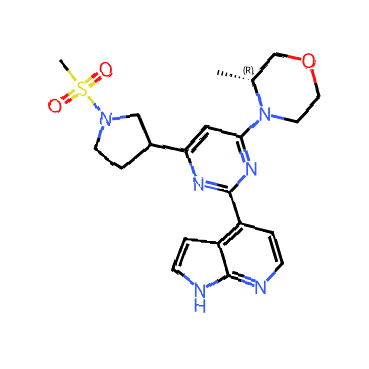 C[C@@H]1COCCN1c1cc(C2CCN(S(C)(=O)=O)C2)nc(-c2ccnc3[nH]ccc23)n1